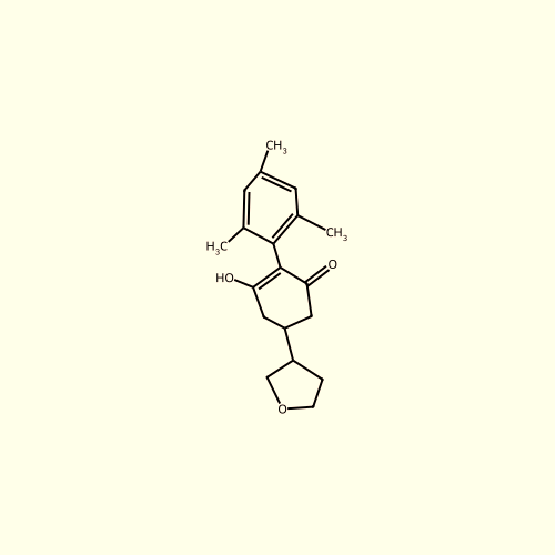 Cc1cc(C)c(C2=C(O)CC(C3CCOC3)CC2=O)c(C)c1